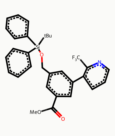 COC(=O)c1cc(CO[Si](c2ccccc2)(c2ccccc2)C(C)(C)C)cc(-c2cccnc2C(F)(F)F)c1